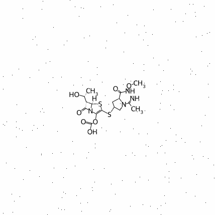 CONC(=O)C1CC(SC2=C(OC(=O)O)N3C(=O)[C@H]([C@@H](C)O)[C@H]3S2)CN1C(C)=N